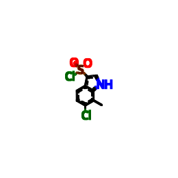 Cc1c(Cl)ccc2c(S(=O)(=O)Cl)c[nH]c12